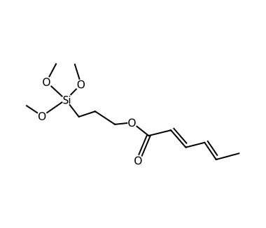 CC=CC=CC(=O)OCCC[Si](OC)(OC)OC